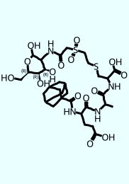 CC(NC(=O)C(CCC(=O)O)NC(=O)C12CC3CC(CC(C3)C1)C2)C(=O)NC(CSCCS(=O)(=O)CC(=O)NC1C(O)O[C@H](CO)[C@H](O)[C@@H]1O)C(=O)O